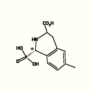 Cc1ccc2c(c1)CC(C(=O)O)N[C@H]2P(=O)(O)O